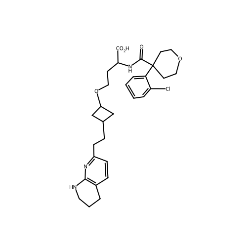 O=C(O)C(CCOC1CC(CCc2ccc3c(n2)NCCC3)C1)NC(=O)C1(c2ccccc2Cl)CCOCC1